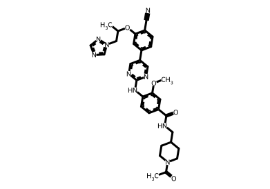 COc1cc(C(=O)NCC2CCN(C(C)=O)CC2)ccc1Nc1ncc(-c2ccc(C#N)c(OC(C)Cn3cncn3)c2)cn1